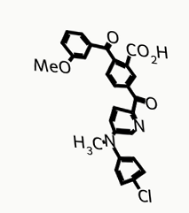 COc1cccc(C(=O)c2ccc(C(=O)c3ccc(N(C)c4ccc(Cl)cc4)cn3)cc2C(=O)O)c1